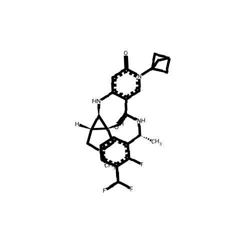 C[C@@H](NC(=O)c1cn(C23CC(C2)C3)c(=O)cc1N[C@H]1[C@@H]2CN(C)C[C@@H]21)c1cccc(C(F)F)c1F